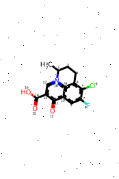 CC1CCc2c(Cl)c(F)cc3c(=O)c(C(=O)O)cn1c23